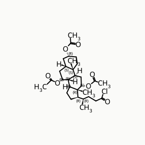 CC(=O)O[C@@H]1CC[C@@]2(C)[C@@H](C1)C[C@@H](OC(C)=O)[C@@H]1[C@@H]2C[C@H](OC(C)=O)[C@]2(C)[C@@H]([C@H](C)CCC(=O)Cl)CC[C@@H]12